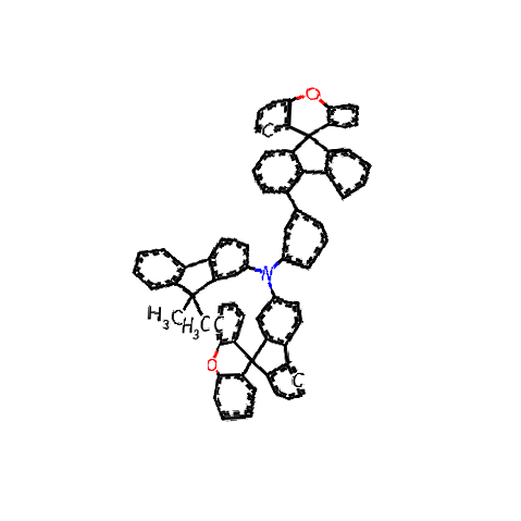 CC1(C)c2ccccc2-c2ccc(N(c3cccc(-c4cccc5c4-c4ccccc4C54c5ccccc5Oc5ccccc54)c3)c3ccc4c(c3)C3(c5ccccc5Oc5ccccc53)c3ccccc3-4)cc21